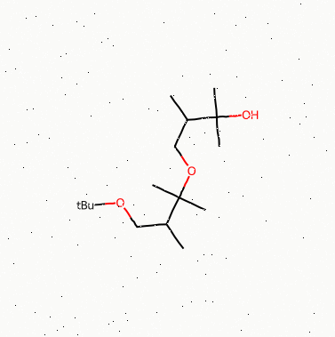 CC(COC(C)(C)C(C)COC(C)(C)C)C(C)(C)O